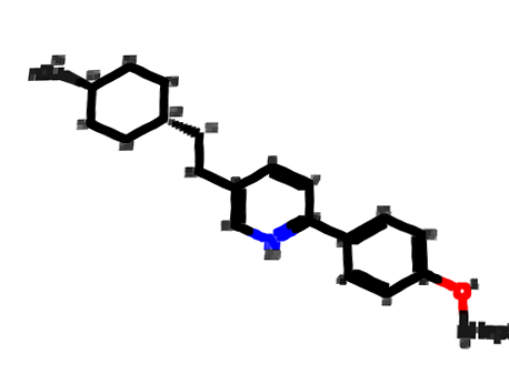 CCCCCCCOc1ccc(-c2ccc(CC[C@H]3CC[C@H](CCCC)CC3)cn2)cc1